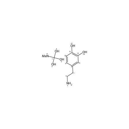 CNC(O)(O)O.NCCc1ccc(O)c(O)c1